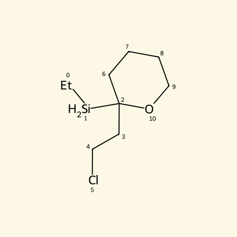 CC[SiH2]C1(CCCl)CCCCO1